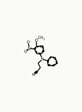 COc1ccc(N(CCC#N)c2ccccc2)cc1[N+](=O)[O-]